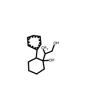 CC(CO)C1(O)CCCCC1c1ccccc1